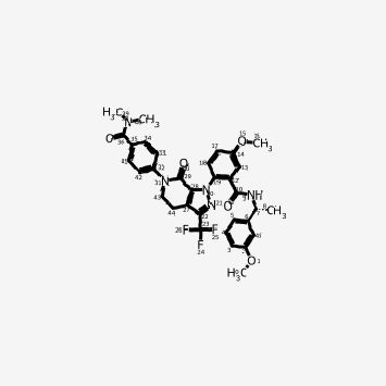 COc1cccc([C@@H](C)NC(=O)c2cc(OC)ccc2-n2nc(C(F)(F)F)c3c2C(=O)N(c2ccc(C(=O)N(C)C)cc2)CC3)c1